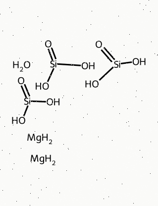 O.O=[Si](O)O.O=[Si](O)O.O=[Si](O)O.[MgH2].[MgH2]